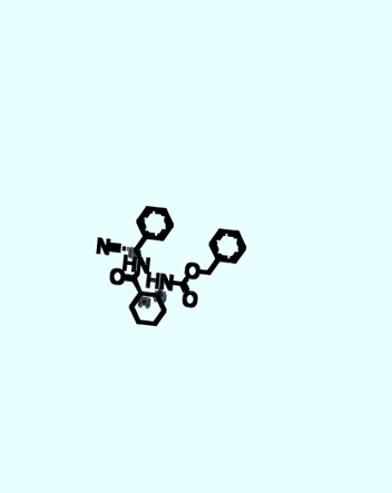 N#C[C@@H](NC(=O)[C@@H]1CCCC[C@H]1NC(=O)OCc1ccccc1)c1ccccc1